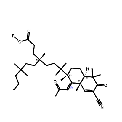 CCCC(C)(C)CC[C@](C)(CCC(=O)OF)CCC(C)(C)[C@]1(C)CC[C@H]2C(C)(C)C(=O)C(C#N)=C[C@]2(C)/C1=C/C(C)=O